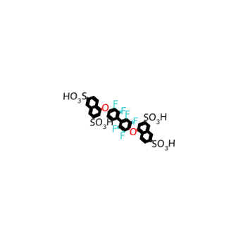 O=S(=O)(O)c1ccc2c(Oc3ccc(-c4c(F)c(F)c(Oc5cc(S(=O)(=O)O)cc6cc(S(=O)(=O)O)ccc56)c(F)c4F)c(F)c3F)cc(S(=O)(=O)O)cc2c1